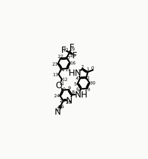 Cc1c[nH]c2cc(Nc3cc(OCCc4ccc(C(F)(F)F)cc4)cc(C#N)n3)ccc12